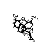 C=C1CCC2(O)C3Cc4ccc(O)c5c4[C@]2(CC[N@+]3(C)CC2CC2)C1O5